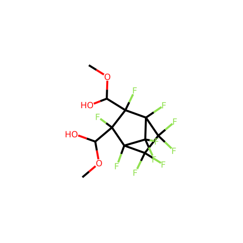 COC(O)C1(F)C(F)(C(O)OC)C2(F)C(F)(F)C(F)(F)C1(F)C2(F)F